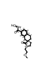 COCCN1CC[C@@]2(CCc3ccc(C(=O)NO)cc3C2)C1=O